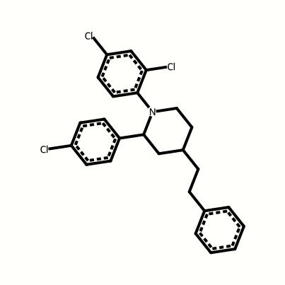 Clc1ccc(C2CC(CCc3ccccc3)CCN2c2ccc(Cl)cc2Cl)cc1